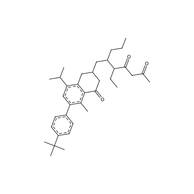 CCCC(CC1CC(=O)c2c(C)c(-c3ccc(C(C)(C)C)cc3)cc(C(C)C)c2C1)C(CC)C(=O)CC(C)=O